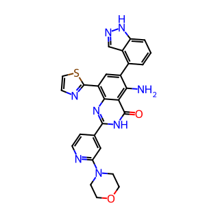 Nc1c(-c2cccc3[nH]ncc23)cc(-c2nccs2)c2nc(-c3ccnc(N4CCOCC4)c3)[nH]c(=O)c12